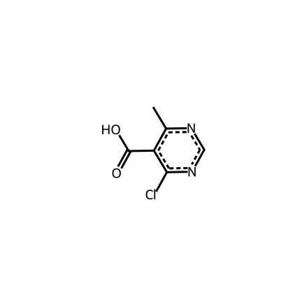 Cc1ncnc(Cl)c1C(=O)O